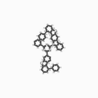 c1ccc(-c2nc(-c3ccc4c(c3)oc3cccc(-c5ccccc5)c34)nc(-n3c4ccccc4c4cc5oc6cccc(-c7ccccc7)c6c5cc43)n2)cc1